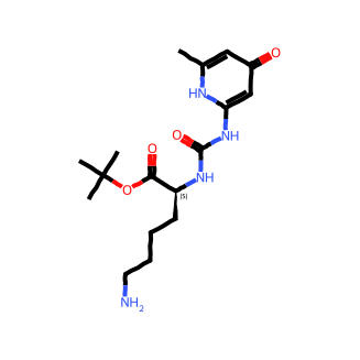 Cc1cc(=O)cc(NC(=O)N[C@@H](CCCCN)C(=O)OC(C)(C)C)[nH]1